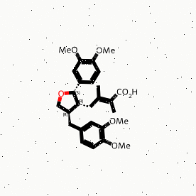 COc1ccc(C[C@H]2CO[C@H](c3ccc(OC)c(OC)c3)[C@@H]2CC(C)=C(C)C(=O)O)cc1OC